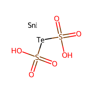 O=S(=O)(O)[Te]S(=O)(=O)O.[Sn]